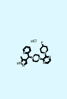 Cc1[nH]ncc1C(c1ccccn1)N1CCN(c2nccnc2N2CCC(F)CC2)CC1.Cl